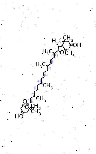 CC(/C=C/C=C(C)/C=C/[C@@]12O[C@]1(C)C[C@@H](O)CC2(C)C)=C\C=C\C=C(C)\C=C\C=C(/C)C1C=C2C(C)(C)C[C@H](O)C[C@@]2(C)O1